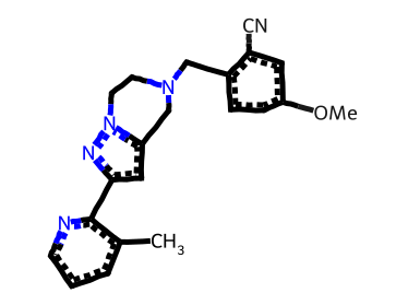 COc1ccc(CN2CCn3nc(-c4ncccc4C)cc3C2)c(C#N)c1